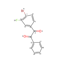 O=C(C(=O)c1ccc(Br)c(F)c1)c1ccccc1